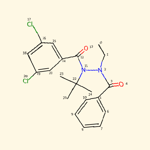 CCN(C(=O)c1ccccc1)N(C(=O)c1cc(Cl)cc(Cl)c1)C(C)(C)C